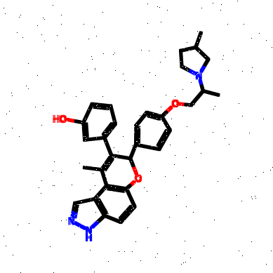 CC1=C(c2cccc(O)c2)C(c2ccc(OCC(C)N3CCC(C)C3)cc2)Oc2ccc3[nH]ncc3c21